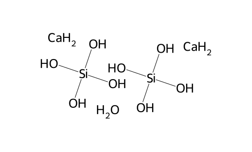 O.O[Si](O)(O)O.O[Si](O)(O)O.[CaH2].[CaH2]